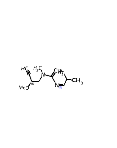 C#C[C@@H](CN(C)C(=C)/N=C\C(C)C(C)C)OC